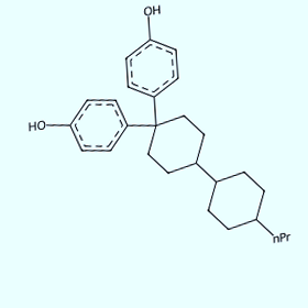 CCCC1CCC(C2CCC(c3ccc(O)cc3)(c3ccc(O)cc3)CC2)CC1